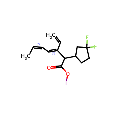 C=C/C(=C\C=C/C)C(C(=O)OI)C1CCC(F)(F)C1